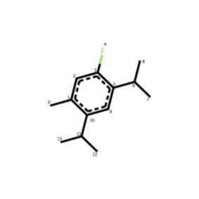 Cc1cc(F)c(C(C)C)cc1C(C)C